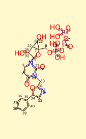 O=c1ccn([C@@H]2OC3(COP(=O)(O)OP(=O)(O)OP(=O)(O)O)C([C@H]3O)[C@@H]2O)c(=O)n1Cc1ncc(-c2ccccc2)o1